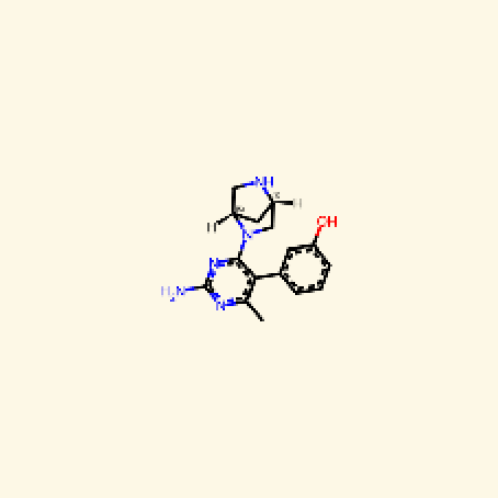 Cc1nc(N)nc(N2C[C@@H]3C[C@H]2CN3)c1-c1cccc(O)c1